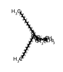 CCCCCCCCCCCCCCCCOCC(COP(=O)([O-])OCCC[N+](C)(C)C)OCCCCCCCCCCCCCCCC